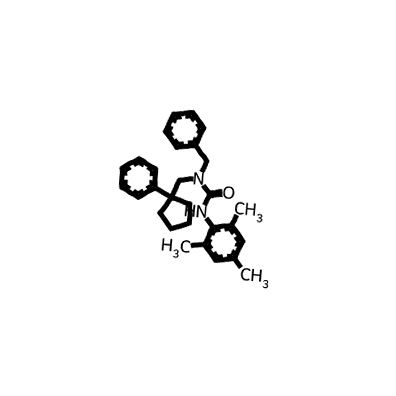 Cc1cc(C)c(NC(=O)N(Cc2ccccc2)CC2(c3ccccc3)CCCC2)c(C)c1